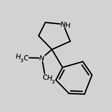 CN(C)C1(c2ccccc2)CCNC1